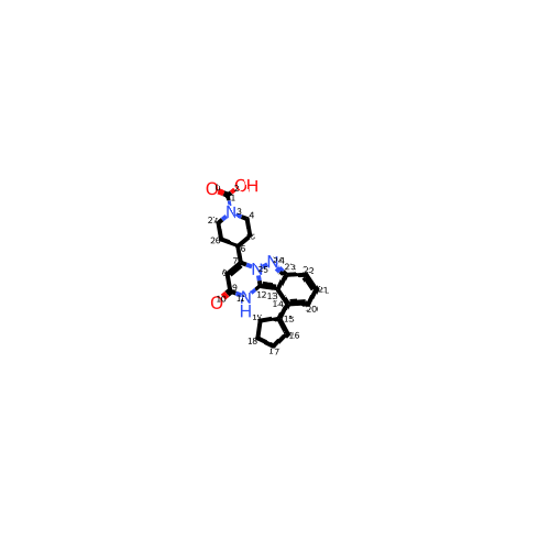 O=C(O)N1CCC(c2cc(=O)[nH]c3c4c(C5CCCC5)cccc4nn23)CC1